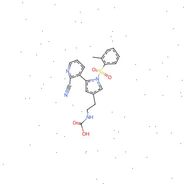 Cc1ccccc1S(=O)(=O)n1cc(CCNC(=O)O)cc1-c1cccnc1C#N